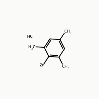 Cc1cc(C)[c]([Zn])c(C)c1.Cl